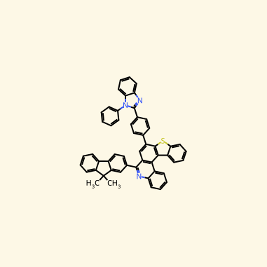 CC1(C)c2ccccc2-c2ccc(-c3nc4ccccc4c4c3cc(-c3ccc(-c5nc6ccccc6n5-c5ccccc5)cc3)c3sc5ccccc5c34)cc21